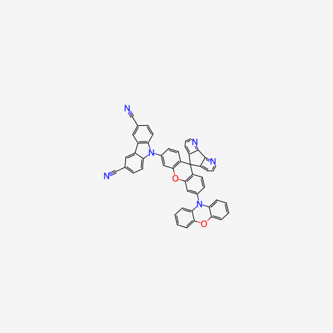 N#Cc1ccc2c(c1)c1cc(C#N)ccc1n2-c1ccc2c(c1)Oc1cc(N3c4ccccc4Oc4ccccc43)ccc1C21c2cccnc2-c2ncccc21